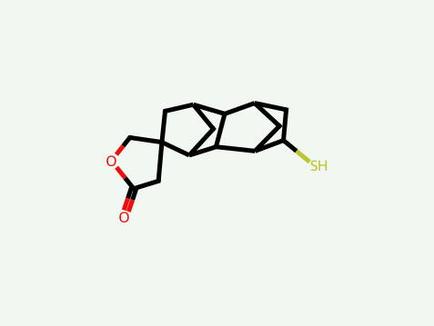 O=C1CC2(CO1)CC1CC2C2C3CC(CC3S)C12